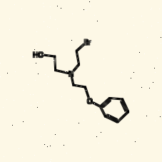 OCCN(CCBr)CCOc1ccccc1